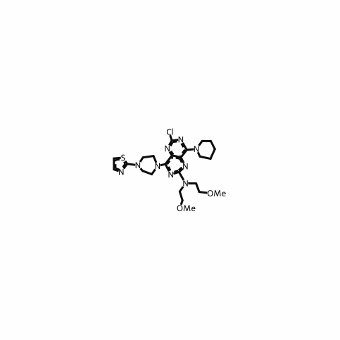 COCCN(CCOC)c1nc(N2CCN(c3nccs3)CC2)c2nc(Cl)nc(N3CCCCC3)c2n1